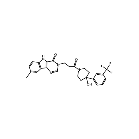 Cc1ccc2[nH]c3c(=O)n(CCC(=O)N4CCC(O)(c5cccc(C(F)(F)F)c5)CC4)cnc3c2c1